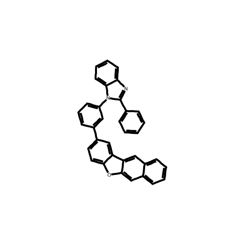 c1ccc(-c2nc3ccccc3n2-c2cccc(-c3ccc4oc5cc6ccccc6cc5c4c3)c2)cc1